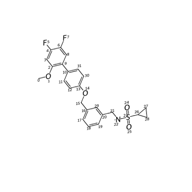 COc1cc(F)c(F)cc1-c1ccc(OCc2cccc(C[N]S(=O)(=O)C3CC3)c2)cc1